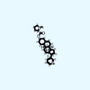 CN1CCC[C@H]1C(=O)O[C@H]1CC[C@@]2(C)C(=CC[C@@H]3[C@@H]2CC[C@]2(C)C(c4cccnc4)=CC[C@@H]32)C1